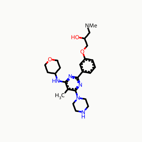 CNCC(O)COc1cccc(-c2nc(NC3CCOCC3)c(C)c(N3CCNCC3)n2)c1